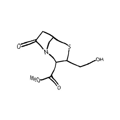 COC(=O)C1C(CO)SC2CC(=O)N21